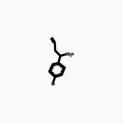 C=CCC(C(=O)O)c1ccc(Br)cc1